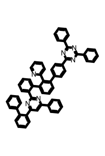 c1ccc(-c2cc(-c3ccccc3-c3ccccc3)nc(-c3ccccc3-c3cccc(-c4ccc(-c5nc(-c6ccccc6)nc(-c6ccccc6)n5)cc4)c3-c3ccccn3)n2)cc1